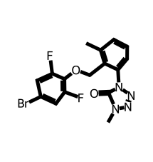 Cc1cccc(-n2nnn(C)c2=O)c1COc1c(F)cc(Br)cc1F